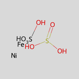 O=S(=O)(O)O.O=S(O)O.[Fe].[Ni]